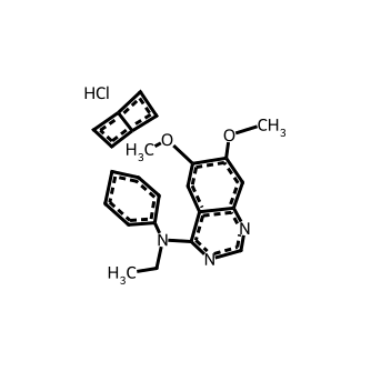 CCN(c1ccccc1)c1ncnc2cc(OC)c(OC)cc12.Cl.c1cc2ccc1-2